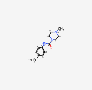 CCOC(=O)c1ccc(NC(=O)N2CCN(C)CC2)cc1